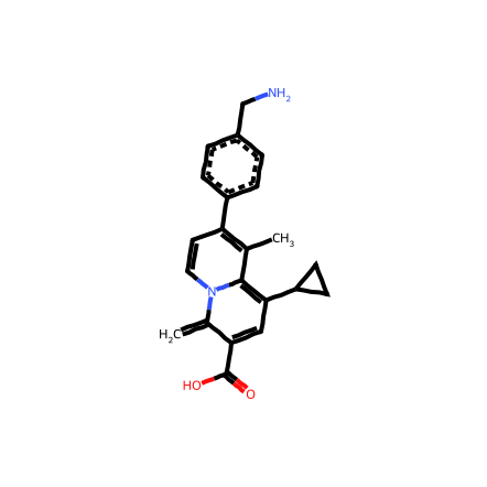 C=C1C(C(=O)O)=CC(C2CC2)=C2C(C)=C(c3ccc(CN)cc3)C=CN12